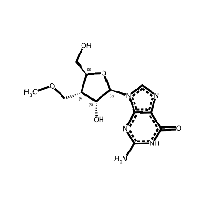 COC[C@H]1[C@@H](O)[C@H](n2cnc3c(=O)[nH]c(N)nc32)O[C@@H]1CO